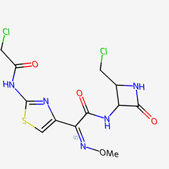 CO/N=C(\C(=O)NC1C(=O)NC1CCl)c1csc(NC(=O)CCl)n1